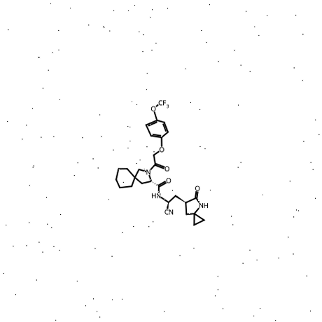 N#C[C@H](C[C@@H]1CC2(CC2)NC1=O)NC(=O)[C@@H]1CC2(CCCCC2)CN1C(=O)COc1ccc(OC(F)(F)F)cc1